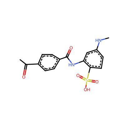 CNc1ccc(S(=O)(=O)O)c(NC(=O)c2ccc(C(C)=O)cc2)c1